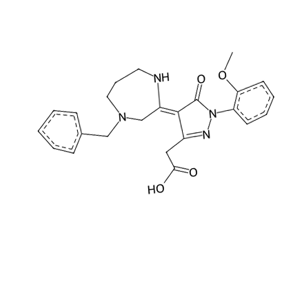 COc1ccccc1N1N=C(CC(=O)O)C(=C2CN(Cc3ccccc3)CCCN2)C1=O